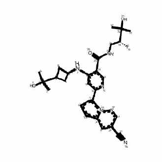 CC(C)(O)C1CC(Nc2cc(-c3ccc4cc(C#N)cnn34)ncc2C(=O)NC[C@@H](F)C(C)(C)O)C1